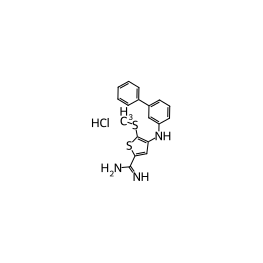 CSc1sc(C(=N)N)cc1Nc1cccc(-c2ccccc2)c1.Cl